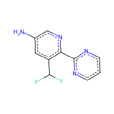 Nc1cnc(-c2ncccn2)c(C(F)F)c1